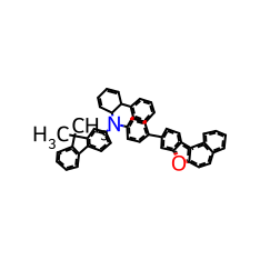 CC1(C)c2ccccc2-c2ccc(N(c3ccc(-c4ccc5c(c4)oc4ccc6ccccc6c45)cc3)C3C=CC=CC3c3ccccc3)cc21